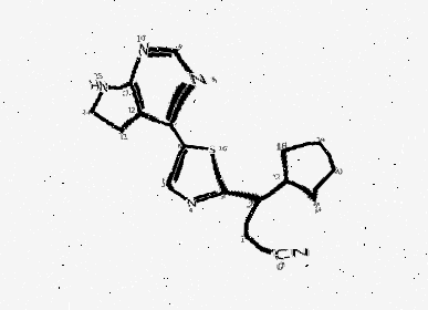 N#CCC(c1ncc(-c2ncnc3c2CCN3)s1)C1CCCC1